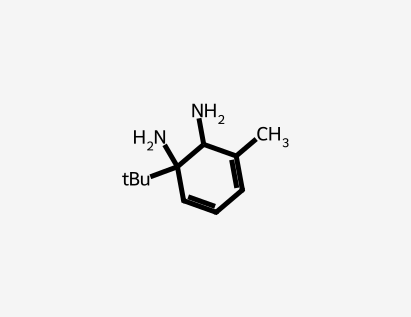 CC1=CC=CC(N)(C(C)(C)C)C1N